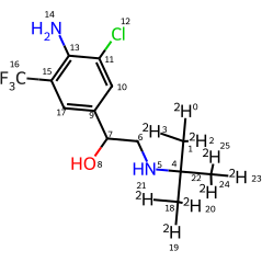 [2H]C([2H])([2H])C(NCC(O)c1cc(Cl)c(N)c(C(F)(F)F)c1)(C([2H])([2H])[2H])C([2H])([2H])[2H]